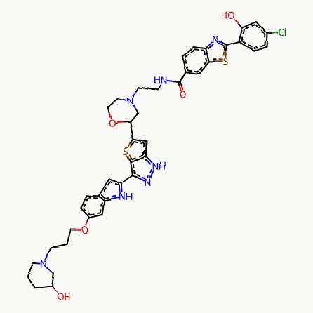 O=C(NCCN1CCOC(c2cc3[nH]nc(-c4cc5ccc(OCCCN6CCCC(O)C6)cc5[nH]4)c3s2)C1)c1ccc2nc(-c3ccc(Cl)cc3O)sc2c1